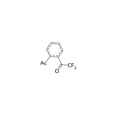 CC(=O)c1ccccc1C(=O)C(F)(F)F